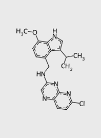 COc1ccc(CNc2cnc3ccc(Cl)nc3n2)c2c(C(C)C)c[nH]c12